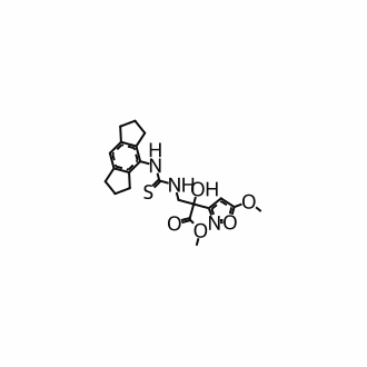 COC(=O)C(O)(CNC(=S)Nc1c2c(cc3c1CCC3)CCC2)c1cc(OC)on1